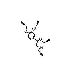 C#CCNCC(OCC#C)c1ccc(OCC#C)c(OCC#C)c1